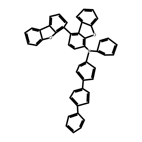 c1ccc(-c2ccc(-c3ccc(N(c4ccccc4)c4ccc(-c5cccc6c5oc5ccccc56)c5c4oc4ccccc45)cc3)cc2)cc1